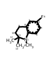 CN1c2ccc(F)cc2CCC1(C)C